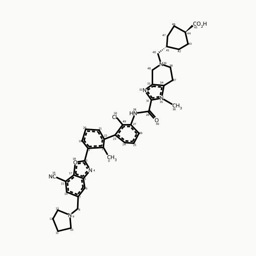 Cc1c(-c2nc3cc(CN4CCCC4)cc(C#N)c3o2)cccc1-c1cccc(NC(=O)c2nc3c(n2C)CCN(C[C@H]2CC[C@H](C(=O)O)CC2)C3)c1Cl